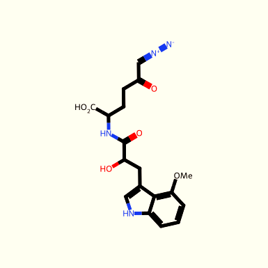 COc1cccc2[nH]cc(CC(O)C(=O)NC(CCC(=O)C=[N+]=[N-])C(=O)O)c12